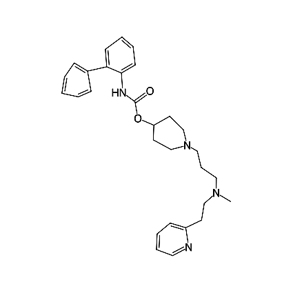 CN(CCCN1CCC(OC(=O)Nc2ccccc2-c2ccccc2)CC1)CCc1ccccn1